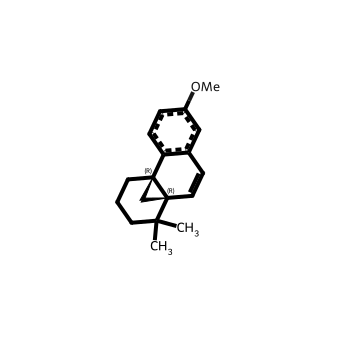 COc1ccc2c(c1)C=C[C@@]13C[C@@]21CCCC3(C)C